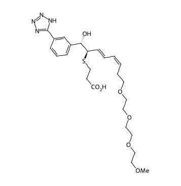 COCCOCCOCCOCC/C=C\C=C\[C@@H](SCCC(=O)O)[C@@H](O)c1cccc(-c2nnn[nH]2)c1